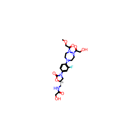 COCC(=O)N1CCN(c2ccc(N3C[C@H](CNC(=O)CO)OC3=O)cc2F)CCN1C(=O)CO